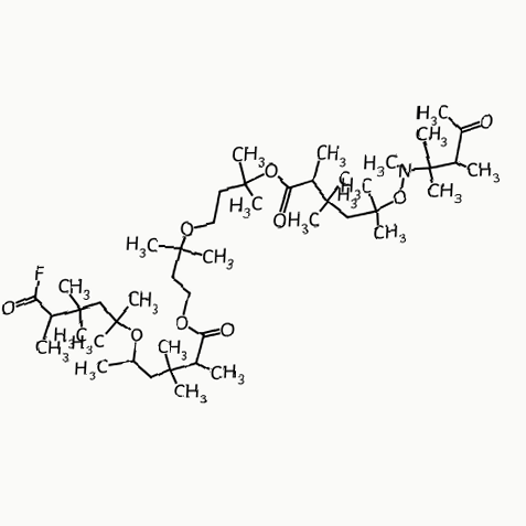 CC(=O)C(C)C(C)(C)N(C)OC(C)(C)CC(C)(C)C(C)C(=O)OC(C)(C)CCOC(C)(C)CCOC(=O)C(C)C(C)(C)CC(C)OC(C)(C)CC(C)(C)C(C)C(=O)F